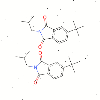 CC(C)CN1C(=O)c2ccc(C(C)(C)C)cc2C1=O.CC(C)CN1C(=O)c2ccc(C(C)(C)C)cc2C1=O